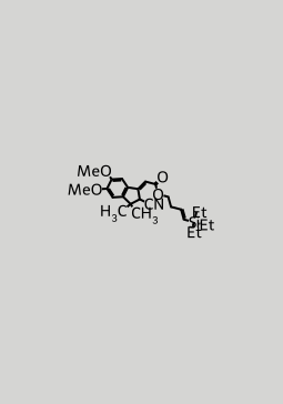 CC[Si](C=CCCOC(=O)C=C1c2cc(OC)c(OC)cc2C(C)(C)C1C#N)(CC)CC